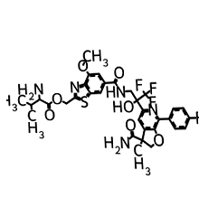 COc1cc(C(=O)NCC(O)(c2cc3c(c(-c4ccc(F)cc4)n2)OCC3(C)C(N)=O)C(F)(F)F)cc2sc(COC(=O)C(N)C(C)C)nc12